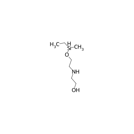 CC[SiH](C)OCCNCCO